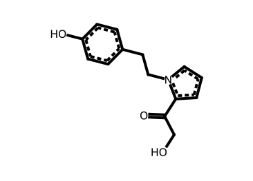 O=C(CO)c1cccn1CCc1ccc(O)cc1